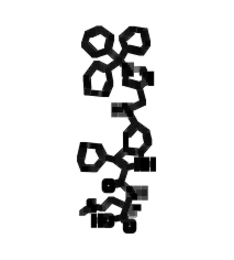 CSCC[C@](C)(NC(=O)c1[nH]c2ccc(NCc3cn(C(c4ccccc4)(c4ccccc4)c4ccccc4)cn3)cc2c1-c1ccccc1)C(=O)O